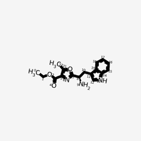 CCOC(=O)c1nc([C@H](N)Cc2c[nH]c3ccccc23)oc1C